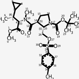 COC(=O)[C@H]([C@H](C)C1CC1)N(C)C(=O)[C@H]1CCN(C(=O)OC(C)(C)C)[C@@H]1COS(=O)(=O)c1ccc(C)cc1